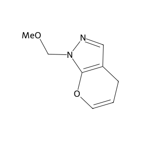 COCn1ncc2c1OC=CC2